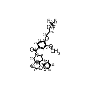 COc1cc(C(=O)N2CC[C@@]3(c4nccs4)OCOC3C2)ccc1OCCOC(F)(F)F